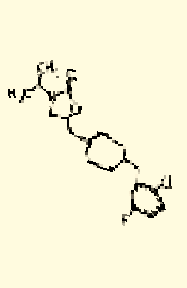 CC(C)N1CC(CN2CCC(Cc3cc(F)ccc3Cl)CC2)OC1=O